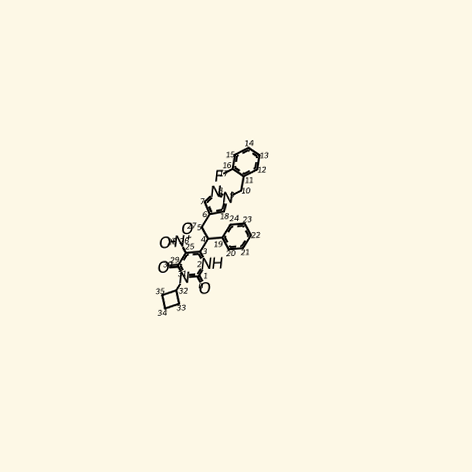 O=c1[nH]c(C(Cc2cnn(Cc3ccccc3F)c2)c2ccccc2)c([N+](=O)[O-])c(=O)n1C1CCC1